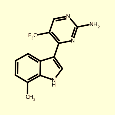 Cc1cccc2c(-c3nc(N)ncc3C(F)(F)F)c[nH]c12